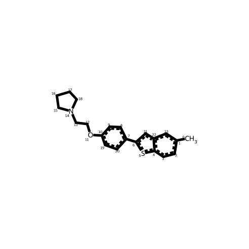 Cc1ccc2sc(-c3ccc(OCCN4CCCC4)cc3)[c]c2c1